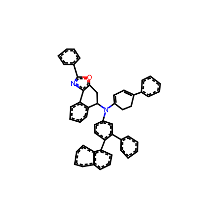 C1=C(c2ccccc2)CCC(N(c2ccc(-c3cccc4ccccc34)c(-c3ccccc3)c2)C2Cc3oc(-c4ccccc4)nc3-c3ccccc32)=C1